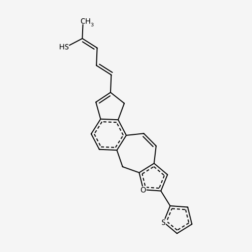 C/C(S)=C/C=C/C1=Cc2ccc3c(c2C1)C=Cc1cc(-c2cccs2)oc1C3